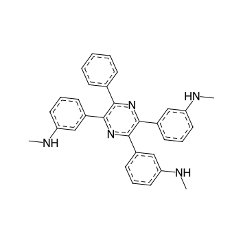 CNc1cccc(-c2nc(-c3cccc(NC)c3)c(-c3cccc(NC)c3)nc2-c2ccccc2)c1